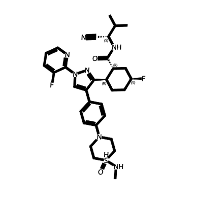 CN[SH]1(=O)CCN(c2ccc(-c3cn(-c4ncccc4F)nc3[C@@H]3CC[C@H](F)C[C@H]3C(=O)N[C@H](C#N)C(C)C)cc2)CC1